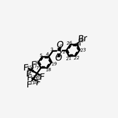 O=S(=O)(Cc1ccc(C(F)(C(F)(F)F)C(F)(F)F)cc1)c1cccc(Br)c1